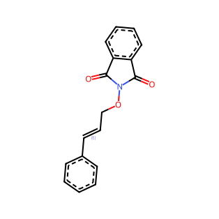 O=C1c2ccccc2C(=O)N1OC/C=C/c1ccccc1